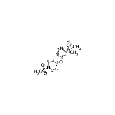 CC(C)(C)c1cc(OC2CCN(S(C)(=O)=O)CC2)ncn1